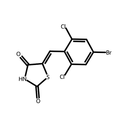 O=C1NC(=O)/C(=C/c2c(Cl)cc(Br)cc2Cl)S1